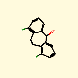 OC1c2cccc(F)c2CCc2c(F)cccc21